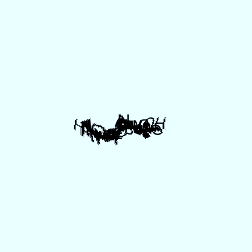 COCCN(C(=O)O)C(c1ccc(-c2cc3nccc(Oc4ccc(NC(=O)NC5CC5)cc4F)c3s2)nc1)C(C)(C)C